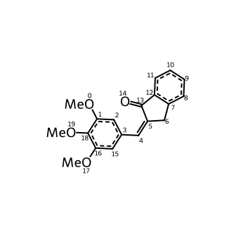 COc1cc(C=C2Cc3ccccc3C2=O)cc(OC)c1OC